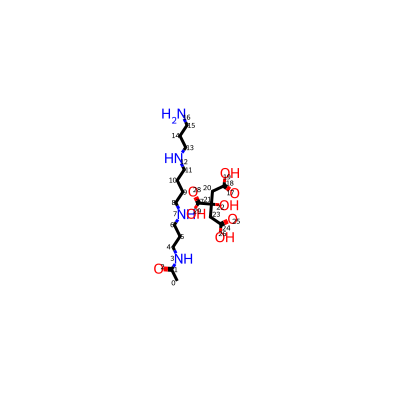 CC(=O)NCCCNCCCCNCCCN.O=C(O)CC(O)(CC(=O)O)C(=O)O